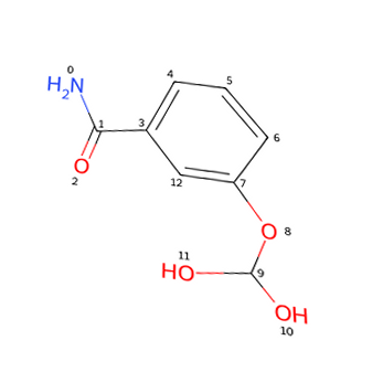 NC(=O)c1cccc(OC(O)O)c1